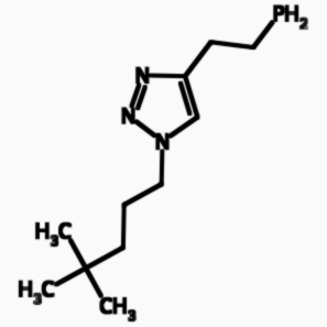 CC(C)(C)CCCn1cc(CCP)nn1